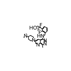 Cc1nnc(NCc2cccc(C(F)(F)CO)c2F)c2cc(N3CCC(N(C)C)CC3)cnc12